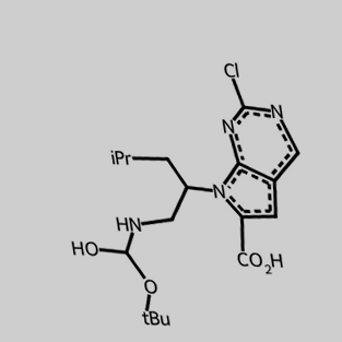 CC(C)CC(CNC(O)OC(C)(C)C)n1c(C(=O)O)cc2cnc(Cl)nc21